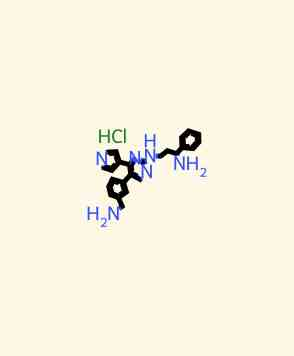 Cl.NCc1cccc(-c2cnc(NCCC(N)c3ccccc3)nc2-c2ccncc2)c1